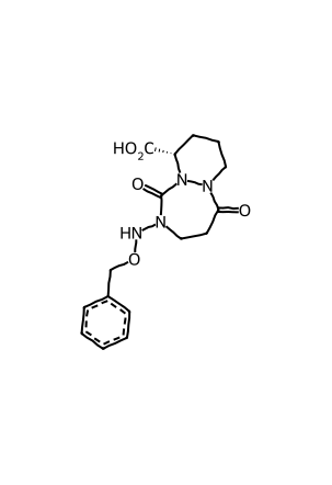 O=C(O)[C@@H]1CCCN2C(=O)CCN(NOCc3ccccc3)C(=O)N12